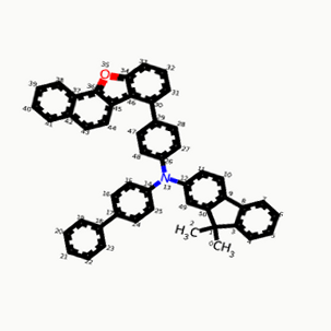 CC1(C)c2ccccc2-c2ccc(N(c3ccc(-c4ccccc4)cc3)c3ccc(-c4cccc5oc6c7ccccc7ccc6c45)cc3)cc21